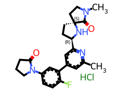 Cc1cc(-c2cc(N3CCCC3=O)ccc2F)cc([C@H]2CC[C@@]3(CCN(C)C3=O)N2)n1.Cl